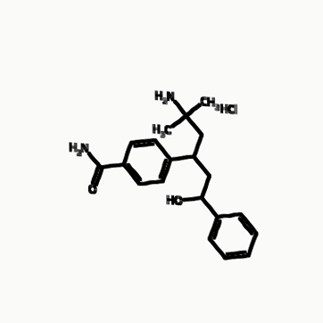 CC(C)(N)CC(CC(O)c1ccccc1)c1ccc(C(N)=O)cc1.Cl